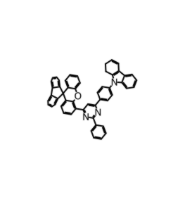 C1=Cc2c(n(-c3ccc(-c4cc(-c5cccc6c5Oc5ccccc5C65c6ccccc6-c6ccccc65)nc(-c5ccccc5)n4)cc3)c3ccccc23)CC1